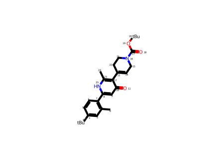 Cc1cc(C(C)(C)C)ccc1-c1cc(=O)c(C2=CCN(C(=O)OC(C)(C)C)CC2)c(C)[nH]1